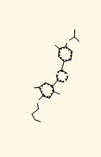 CC(C)Oc1ccc(-c2nnc(-c3cc(F)c(OC[C@@H](N)[C@@H](C)O)cc3Cl)s2)cc1Cl.Cl